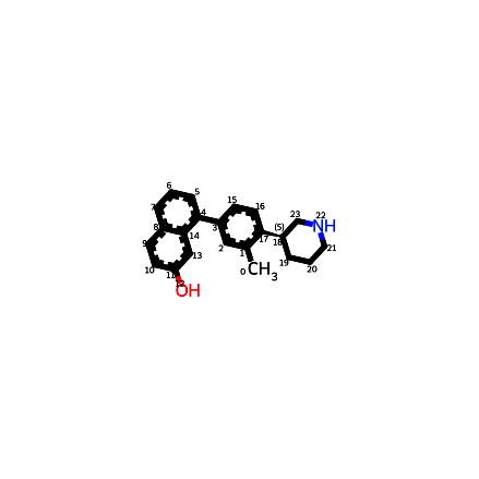 Cc1cc(-c2cccc3ccc(O)cc23)ccc1[C@@H]1CCCNC1